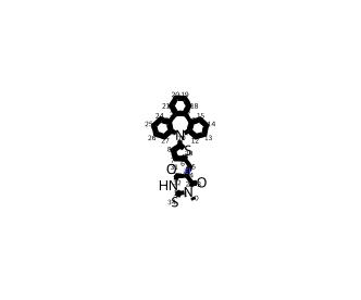 CN1C(=O)/C(=C/c2ccc(N3c4ccccc4-c4ccccc4-c4ccccc43)s2)C(=O)NC1=S